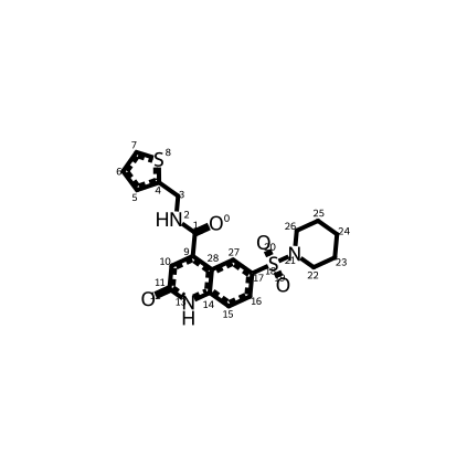 O=C(NCc1cccs1)c1cc(=O)[nH]c2ccc(S(=O)(=O)N3CCCCC3)cc12